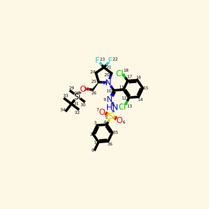 Cc1ccc(S(=O)(=O)N/N=C(\c2c(Cl)cccc2Cl)N2CC(F)(F)C[C@@H]2CO[Si](C)(C)C(C)(C)C)cc1